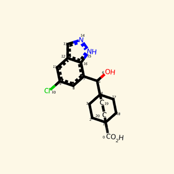 O=C(O)C12CCC(C(O)c3cc(Cl)cc4cn[nH]c34)(CC1)CC2